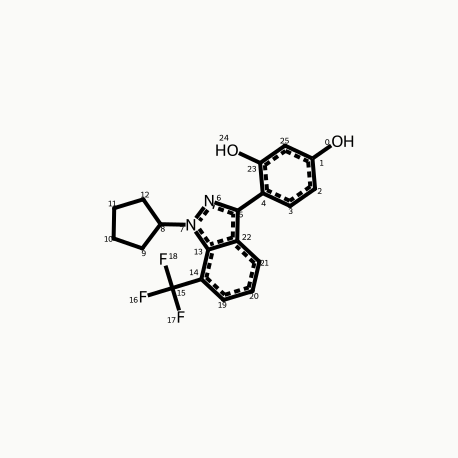 Oc1ccc(-c2nn(C3CCCC3)c3c(C(F)(F)F)cccc23)c(O)c1